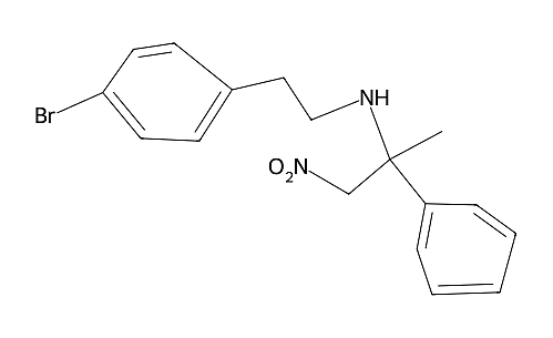 CC(C[N+](=O)[O-])(NCCc1ccc(Br)cc1)c1ccccc1